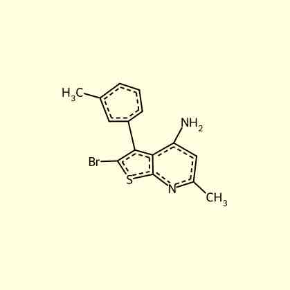 Cc1cccc(-c2c(Br)sc3nc(C)cc(N)c23)c1